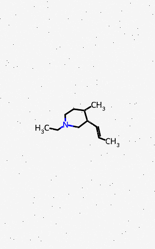 C/C=C/C1CN(CC)CCC1C